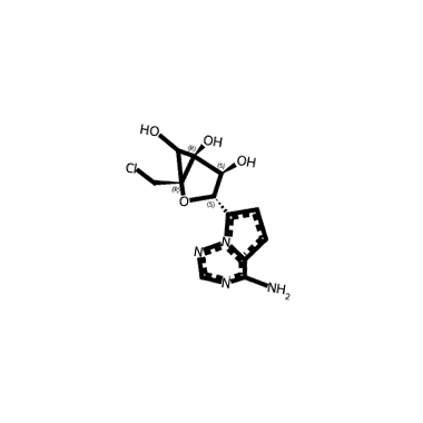 Nc1ncnn2c([C@@H]3O[C@]4(CCl)C(O)[C@]4(O)[C@H]3O)ccc12